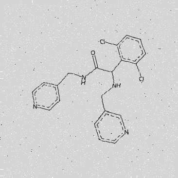 O=C(NCc1ccncc1)C(NCc1cccnc1)c1c(Cl)cccc1Cl